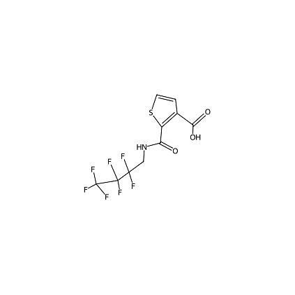 O=C(O)c1ccsc1C(=O)NCC(F)(F)C(F)(F)C(F)(F)F